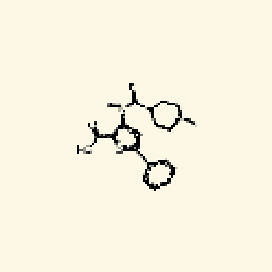 CC1CCC(C(=O)N(C)c2cc(-c3ccccc3)sc2C(=O)O)CC1